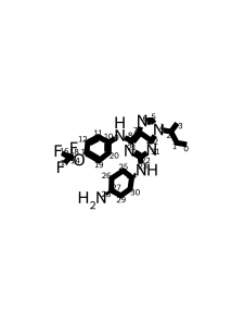 CCC(C)n1cnc2c(Nc3ccc(OC(F)(F)F)cc3)nc(N[C@H]3CC[C@H](N)CC3)nc21